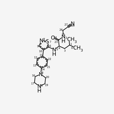 CC(C)CC(Nc1sncc1-c1ccc(N2CCNCC2)cc1)C(=O)NCC#N